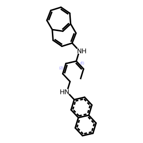 C/C=C(\C=C/CNc1ccc2ccccc2c1)NC1=CC2=CC(C=CC=C2)C=C1